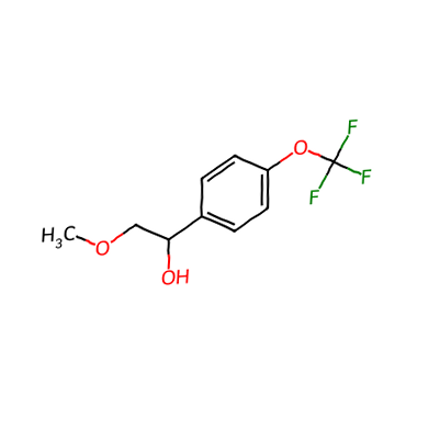 COCC(O)c1ccc(OC(F)(F)F)cc1